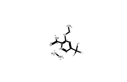 CCOc1cc(C(F)(F)F)cnc1C(=O)O.NN